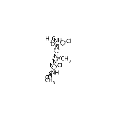 CC[C@H]1CN(c2ncc(NSOOC)cc2Cl)CCN1C1CCN([C@@H](C(=O)NC)c2ccc(Cl)cc2)CC1